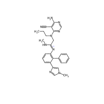 CCCN(C/C(=N/c1cccc(-c2cn(C)cn2)c1-c1ccccc1)NC)c1ncnc(N)c1C#N